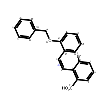 O=C(O)c1cccc(Br)c1/C=C\c1ccccc1OCc1ccccc1